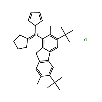 Cc1cc2c(cc1C(C)(C)C)-c1cc(C(C)(C)C)c(C)[c]([Zr+2](=[C]3CCCC3)[CH]3C=CC=C3)c1C2.[Cl-].[Cl-]